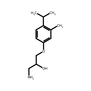 Cc1cc(OCC(O)CN)ccc1C(C)C